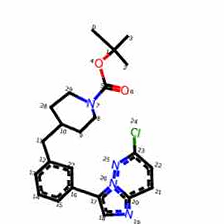 CC(C)(C)OC(=O)N1CCC(Cc2cccc(-c3cnc4ccc(Cl)nn34)c2)CC1